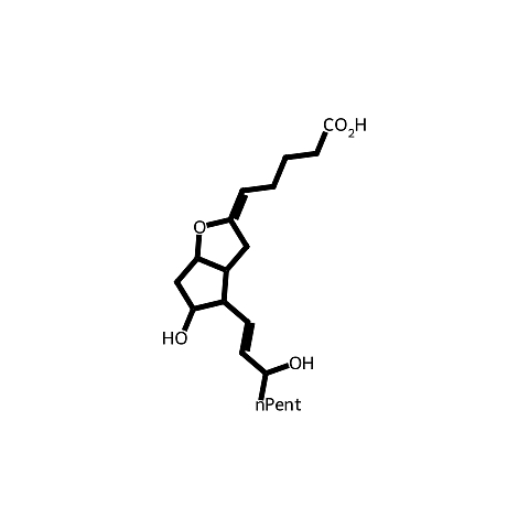 CCCCCC(O)C=CC1C(O)CC2OC(=CCCCC(=O)O)CC21